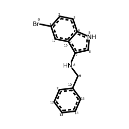 Brc1ccc2[nH]cc(NCc3ccccc3)c2c1